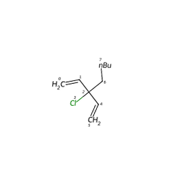 C=CC(Cl)(C=C)CCCCC